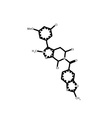 CCC1Cc2c(nn(C)c2-c2cc(Cl)cc(OC)c2)C(CC)N1C(=O)c1ccc2nc(C)oc2c1